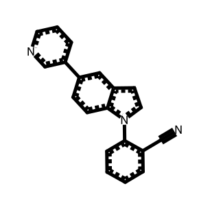 N#Cc1ccccc1-n1ccc2cc(-c3cccnc3)ccc21